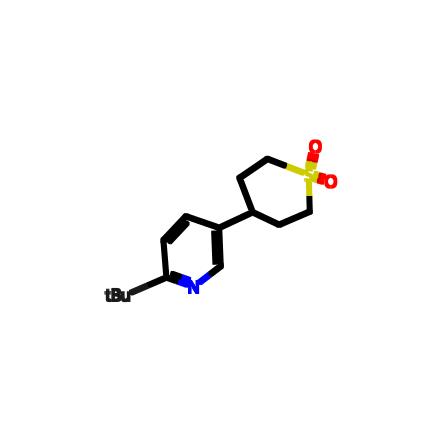 CC(C)(C)c1ccc(C2CCS(=O)(=O)CC2)cn1